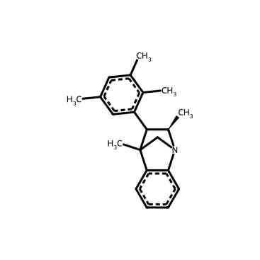 Cc1cc(C)c(C)c(C2[C@@H](C)N3CC2(C)c2ccccc23)c1